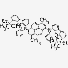 CCC(C)(C)c1cccc2c1oc1c(N(c3ccccc3)c3cc(C)c4ccc5c(N(c6ccccc6)c6cccc7c6oc6c(C(C)(C)CC)cccc67)cc(C)c6ccc3c4c65)cccc12